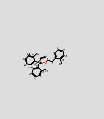 C=C[Si](OCCc1ccccc1C)(c1ccccc1C)c1ccccc1C